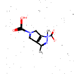 CC1=N[N+](C)(C(=O)[O-])C2=C1CN(C(=O)O)C2